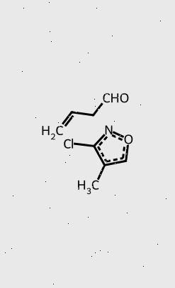 C=CCC=O.Cc1conc1Cl